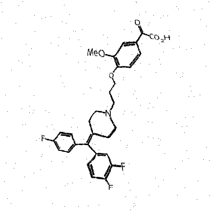 COc1cc(C(=O)C(=O)O)ccc1OCCCN1CCC(=C(c2ccc(F)cc2)c2ccc(F)c(F)c2)CC1